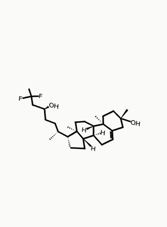 C[C@H](CC[C@H](O)CC(C)(F)F)[C@H]1CC[C@H]2[C@@H]3CC=C4C[C@@](C)(O)CC[C@]4(C)[C@H]3CC[C@]12C